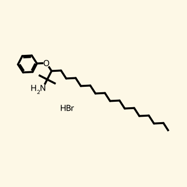 Br.CCCCCCCCCCCCCCCCC(Oc1ccccc1)C(C)(C)N